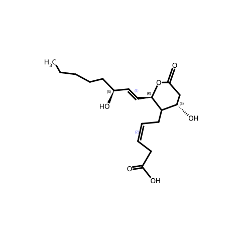 CCCCC[C@H](O)/C=C/[C@H]1OC(=O)C[C@H](O)C1C/C=C\CC(=O)O